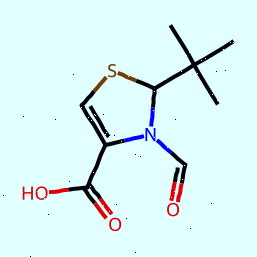 CC(C)(C)C1SC=C(C(=O)O)N1C=O